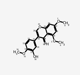 COc1cc(OC)c2c(=P)c(-c3ccc(OC)c(O)c3)coc2c1